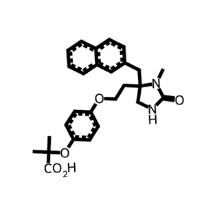 CN1C(=O)NCC1(CCOc1ccc(OC(C)(C)C(=O)O)cc1)Cc1ccc2ccccc2c1